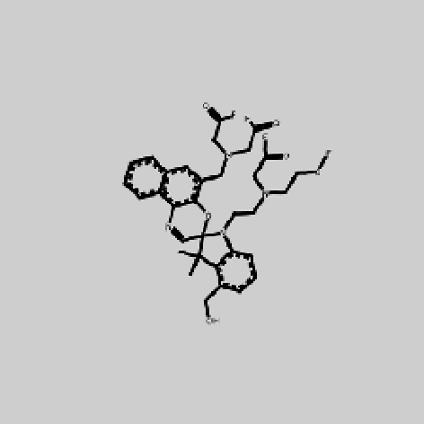 CC1(C)c2c(CO)cccc2N(CCN(CCOF)CC(=O)F)C12C=Nc1c(c(CN(CC(=O)F)CC(=O)F)cc3ccccc13)O2